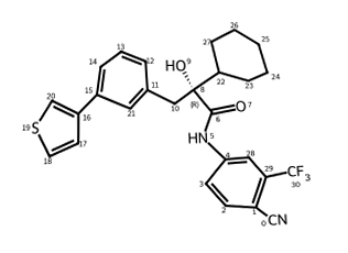 N#Cc1ccc(NC(=O)[C@@](O)(Cc2cccc(-c3ccsc3)c2)C2CCCCC2)cc1C(F)(F)F